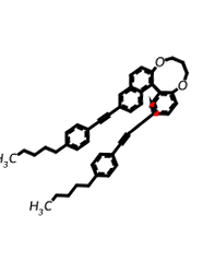 CCCCCc1ccc(C#Cc2ccc3c4c(ccc3c2)OCCCOc2ccc3cc(C#Cc5ccc(CCCCC)cc5)ccc3c2-4)cc1